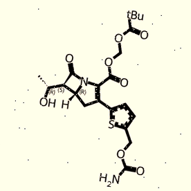 C[C@@H](O)[C@H]1C(=O)N2C(C(=O)OCOC(=O)C(C)(C)C)=C(c3ccc(COC(N)=O)s3)C[C@H]12